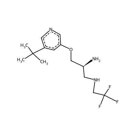 CC(C)(C)c1cncc(OC[C@@H](N)CNCC(F)(F)F)c1